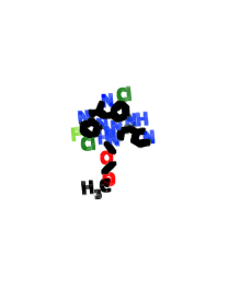 COCCOCCn1cc([C@@H](Nc2cc(Cl)c3ncc(C#N)c(Nc4ccc(F)c(Cl)c4)c3c2)c2cccnc2)nn1